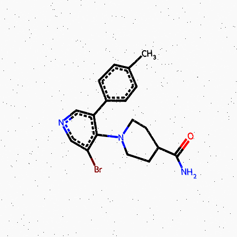 Cc1ccc(-c2cncc(Br)c2N2CCC(C(N)=O)CC2)cc1